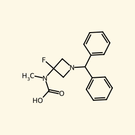 CN(C(=O)O)C1(F)CN(C(c2ccccc2)c2ccccc2)C1